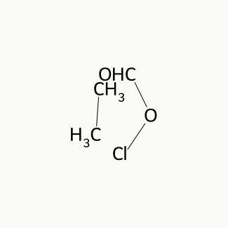 CC.O=COCl